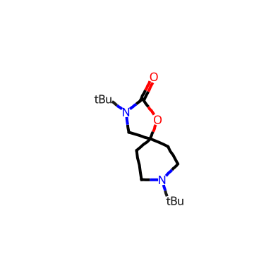 CC(C)(C)N1CCC2(CC1)CN(C(C)(C)C)C(=O)O2